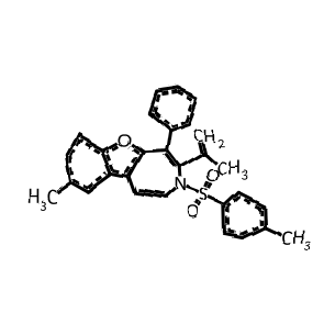 C=C(C)C1=C(c2ccccc2)c2oc3ccc(C)cc3c2C=CN1S(=O)(=O)c1ccc(C)cc1